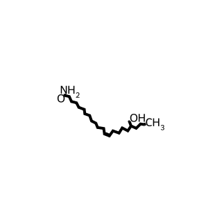 CCCCC(CO)CCCC/C=C\CCCCCCCCCCCC(N)=O